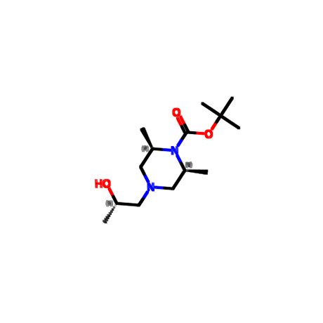 C[C@H](O)CN1C[C@@H](C)N(C(=O)OC(C)(C)C)[C@@H](C)C1